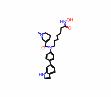 CN1CCC=C(C(=O)N(CCCCCCC(=O)NO)c2ccc(-c3ccc4cc[nH]c4c3)cc2)C1